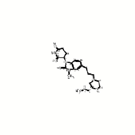 CNC[C@@H]1CN(CCCc2ccc3c(c2)n(C)c(=O)n3C2CCC(=O)NC2=O)CCO1